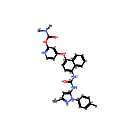 CCN(CC)C(=O)Oc1cc(Oc2ccc(NC(=O)Nc3cc(C(C)(C)C)nn3-c3ccc(C)cc3)c3ccccc23)ccn1